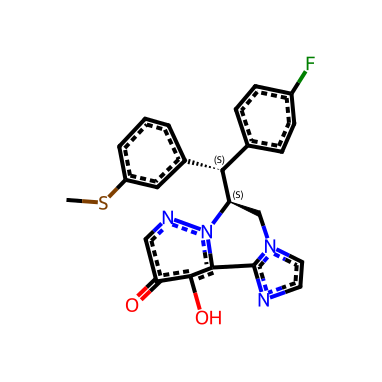 CSc1cccc([C@H](c2ccc(F)cc2)[C@H]2Cn3ccnc3-c3c(O)c(=O)cnn32)c1